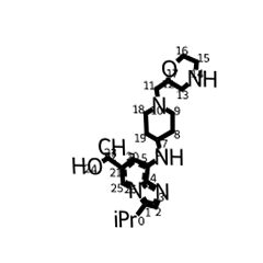 CC(C)c1cnc2c(NC3CCN(CC4CNCCO4)CC3)cc(C(C)O)cn12